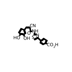 N#CC(=Cc1ccc(O)c(O)c1)C(=O)Nc1nc(-c2ccc(C(=O)O)cc2)cs1